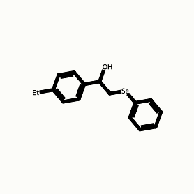 CCc1ccc(C(O)C[Se]c2ccccc2)cc1